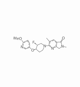 COc1ccc(O[C@@H]2CCN(c3nc4c(cc3C)C(=O)N(C)C4)C[C@@H]2F)cn1